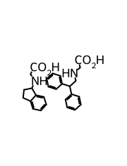 O=C(O)CNC1CCc2ccccc21.O=C(O)CNCC(c1ccccc1)c1ccccc1